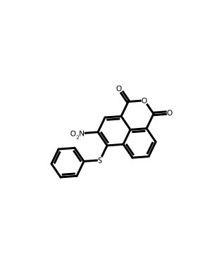 O=C1OC(=O)c2cc([N+](=O)[O-])c(Sc3ccccc3)c3cccc1c23